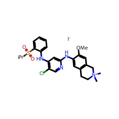 COc1cc2c(cc1Nc1cc(Nc3ccccc3S(=O)(=O)C(C)C)c(Cl)cn1)CC[N+](C)(C)C2.[I-]